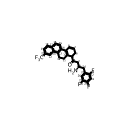 N[C@@H](CC(=O)C1CC=CC2=C1CCc1c2ccc2ccc(C(F)(F)F)cc12)Cc1cc(F)c(F)cc1F